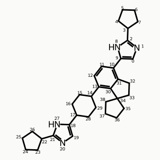 c1nc(C2CCCC2)[nH]c1-c1ccc(C2CCC(c3cnc(C4CCCC4)[nH]3)CC2)c2c1CCC21CCCC1